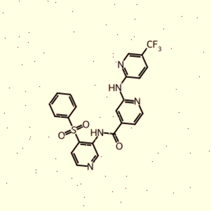 O=C(Nc1cnccc1S(=O)(=O)c1ccccc1)c1ccnc(Nc2ccc(C(F)(F)F)cn2)c1